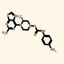 C[C@H]1CN(OC(=O)Nc2ccc([N+](=O)[O-])cc2)CCN1c1nc(N)nc2scnc12